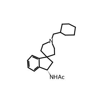 CC(=O)N[C@H]1CC2(CCN(CC3CCCCC3)CC2)c2ccccc21